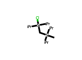 CC(C)[Si](C)(C[Si](Cl)(C(C)C)C(C)C)C(C)C